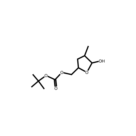 CC1CC(COC(=O)OC(C)(C)C)OC1O